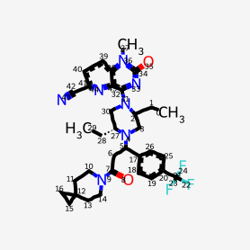 CCC1CN(C(CC(=O)N2CCC3(CC2)CC3)c2ccc(C(F)(F)F)cc2)[C@H](CC)CN1c1nc(=O)n(C)c2ccc(C#N)nc12